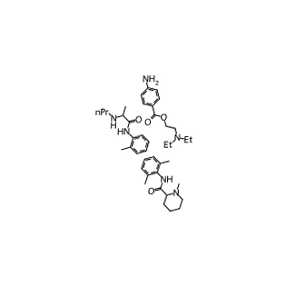 CCCNC(C)C(=O)Nc1ccccc1C.CCN(CC)CCOC(=O)c1ccc(N)cc1.Cc1cccc(C)c1NC(=O)C1CCCCN1C